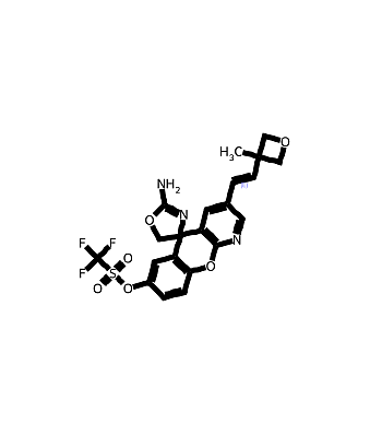 CC1(/C=C/c2cnc3c(c2)C2(COC(N)=N2)c2cc(OS(=O)(=O)C(F)(F)F)ccc2O3)COC1